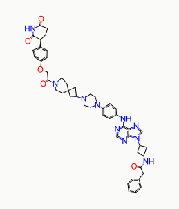 O=C1CC[C@@H](c2ccc(OCC(=O)N3CCC4(CC3)CC(N3CCN(c5ccc(Nc6ncnc7c6ncn7C6CC(NC(=O)Cc7ccccc7)C6)cc5)CC3)C4)cc2)C(=O)N1